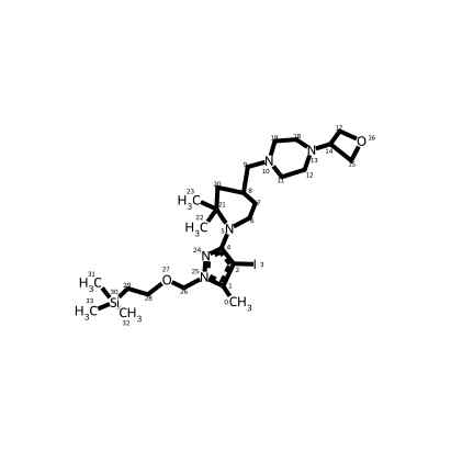 Cc1c(I)c(N2CCC(CN3CCN(C4COC4)CC3)CC2(C)C)nn1COCC[Si](C)(C)C